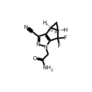 N#Cc1nn(CC(N)=O)c2c1[C@H]1C[C@H]1C2(F)F